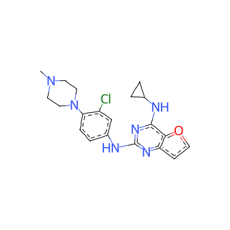 CN1CCN(c2ccc(Nc3nc(NC4CC4)c4occc4n3)cc2Cl)CC1